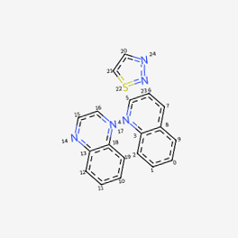 c1ccc2ncccc2c1.c1ccc2nccnc2c1.c1csnn1